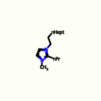 CCCCCCCCCn1cc[n+](C)c1CCC